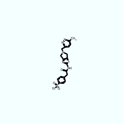 CCS(=O)(=O)c1ccc(CC(=O)Nc2nc3c(s2)CN(Cc2ccc(C)nn2)C3)cc1